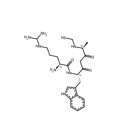 C[C@H](NCS)C(=O)CC(=O)[C@H](Cc1c[nH]c2ccccc12)NC(=O)[C@@H](N)CCCNC(N)N